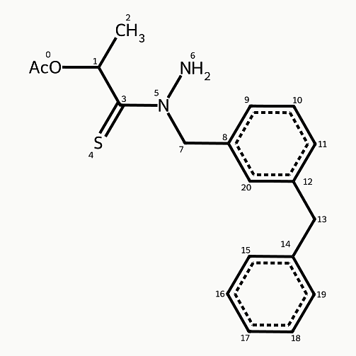 CC(=O)OC(C)C(=S)N(N)Cc1cccc(Cc2ccccc2)c1